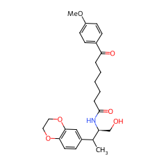 COc1ccc(C(=O)CCCCCC(=O)N[C@@H](CO)C(C)c2ccc3c(c2)OCCO3)cc1